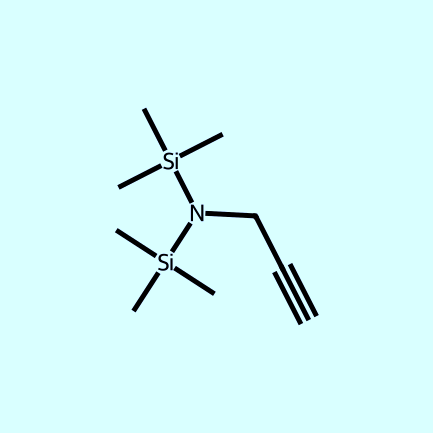 C#CCN([Si](C)(C)C)[Si](C)(C)C